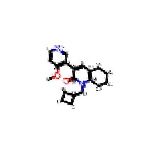 COc1ccncc1-c1cc2c(n(CC3CCC3)c1=O)CCCC2